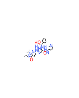 CCCn1c(=O)c2ccc(Nc3ncc(-c4nc(-c5cccnc5)no4)c(N[C@H](CO)c4ccccc4)n3)nc2n1C(C)C